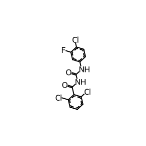 O=C(NC(=O)c1c(Cl)cccc1Cl)Nc1ccc(Cl)c(F)c1